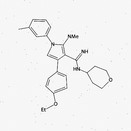 CCOc1ccc(-c2cn(-c3cccc(C)c3)c(NC)c2C(=N)NC2CCOCC2)cc1